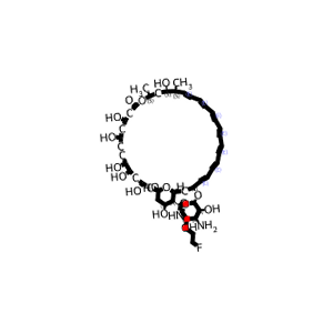 C[C@H]1C[C@H](O)[C@@H](C)/C=C/C=C/C=C/C=C/C=C/C=C/C=C/[C@H](O[C@@H]2OC[C@@H](O)[C@H](N)[C@@H]2O)C[C@@H]2O[C@](O)(CC(O)CC(O)C(O)CCC(O)CC(O)CC(=O)O1)C[C@H](O)[C@H]2C(=O)NCCCCF